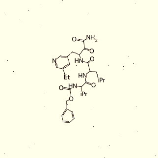 CCc1cncc(CC(NC(=O)C(CC(C)C)NC(=O)C(NC(=O)OCc2ccccc2)C(C)C)C(=O)C(N)=O)c1